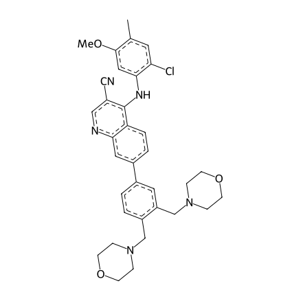 COc1cc(Nc2c(C#N)cnc3cc(-c4ccc(CN5CCOCC5)c(CN5CCOCC5)c4)ccc23)c(Cl)cc1C